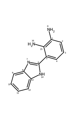 Nc1cccc(-c2nc3ccccc3[nH]2)c1N